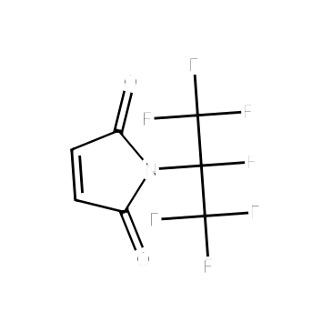 O=C1C=CC(=O)N1C(F)(C(F)(F)F)C(F)(F)F